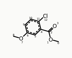 COC(=O)c1cc(OC)ccc1Cl